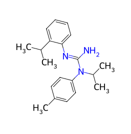 Cc1ccc(N(C(N)=Nc2ccccc2C(C)C)C(C)C)cc1